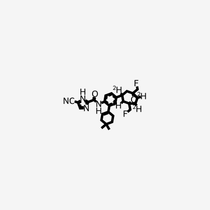 [2H]C1C([2H])C2(CF)OC1(CF)CC([2H])(c1ccc(NC(=O)c3ncc(C#N)[nH]3)c(C3=CCC(C)(C)CC3)c1)C2[2H]